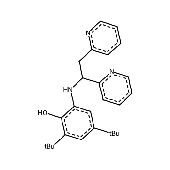 CC(C)(C)c1cc(NC(Cc2ccccn2)c2ccccn2)c(O)c(C(C)(C)C)c1